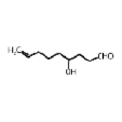 C=CCCCC(O)CCC=O